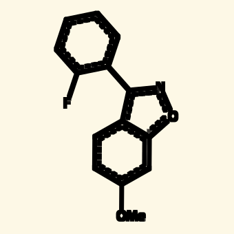 COc1ccc2c(-c3ccccc3F)noc2c1